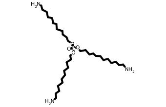 NCCCCCCCCCCCCOP(=O)(OCCCCCCCCCCCCN)OCCCCCCCCCCCCN